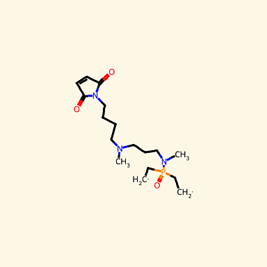 [CH2]CP(=O)(C[CH2])N(C)CCCN(C)CCCCN1C(=O)C=CC1=O